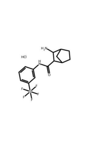 Cl.NC1C2CCC(C2)C1C(=O)Nc1cccc(S(F)(F)(F)(F)F)c1